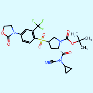 CC(C)(C)OC(=O)N1C[C@H](S(=O)(=O)c2ccc(N3CCOC3=O)cc2C(F)(F)F)C[C@H]1C(=O)N(C#N)C1CC1